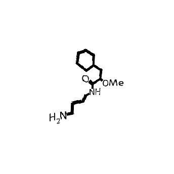 COC(CC1CCCCC1)C(=O)NCC=CCN